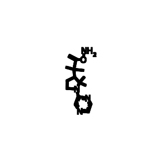 C=C(ON)C(C)(C)C1CCN(c2cnccn2)C1(C)C